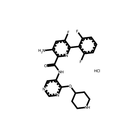 Cl.Nc1cc(F)c(-c2c(F)cccc2F)nc1C(=O)Nc1cncnc1OC1CCNCC1